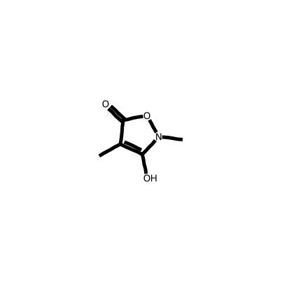 Cc1c(O)n(C)oc1=O